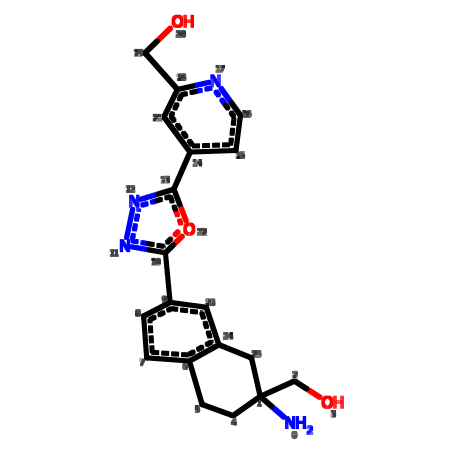 NC1(CO)CCc2ccc(-c3nnc(-c4ccnc(CO)c4)o3)cc2C1